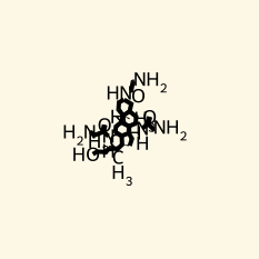 C[C@H](CCCO)[C@H]1CC[C@H]2C3C(NC(=O)CN)CC4CC(NC(=O)CN)CC[C@]4(C)[C@H]3CC(NC(=O)CN)[C@]12C